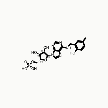 Cc1ccc(O)c(CNc2ncnc3c2ncn3[C@@H]2O[C@H](COP(=O)(O)O)[C@@H](O)[C@H]2O)c1